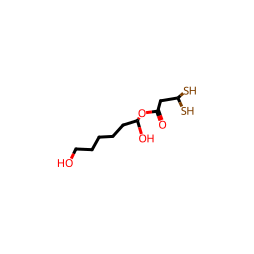 O=C(CC(S)S)OC(O)CCCCCO